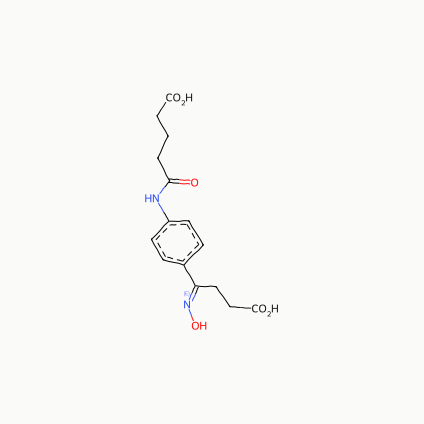 O=C(O)CCCC(=O)Nc1ccc(/C(CCC(=O)O)=N/O)cc1